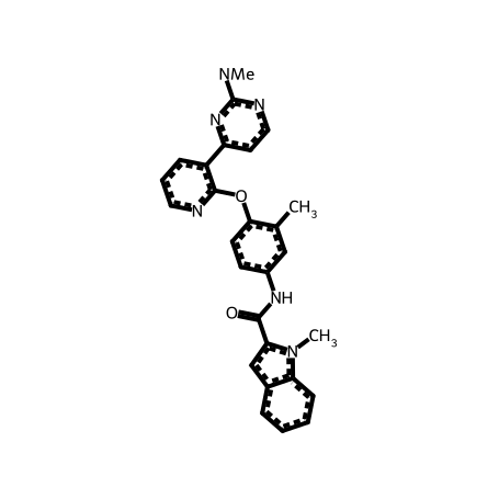 CNc1nccc(-c2cccnc2Oc2ccc(NC(=O)c3cc4ccccc4n3C)cc2C)n1